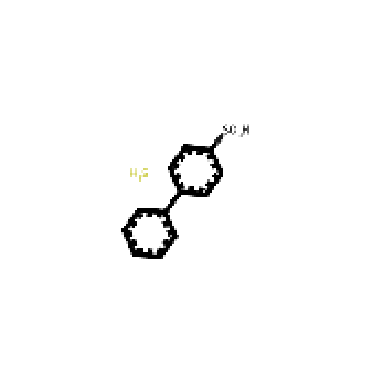 O=S(=O)(O)c1ccc(-c2ccccc2)cc1.S